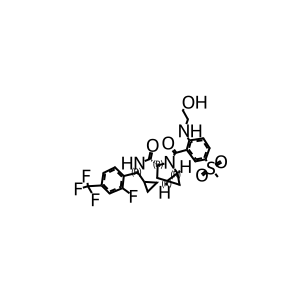 CS(=O)(=O)c1ccc(NCCO)c(C(=O)N2[C@@H](C(=O)N[C@@H](c3ccc(C(F)(F)F)cc3F)C3CC3)C[C@H]3C[C@H]32)c1